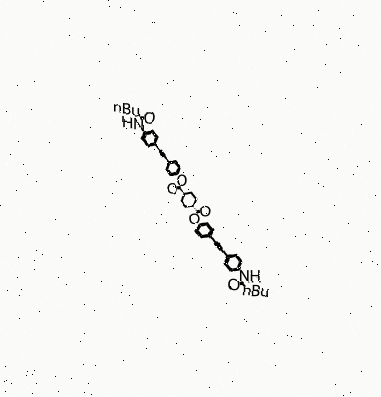 CCCCC(=O)Nc1ccc(C#Cc2ccc(OC(=O)[C@H]3CC[C@H](C(=O)Oc4ccc(C#Cc5ccc(NC(=O)CCCC)cc5)cc4)CC3)cc2)cc1